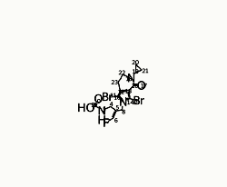 O=C(O)NC/C(=C\F)Cn1c(Br)c2c(c1Br)C(=O)N(C1CC1)CC2